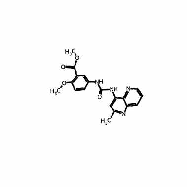 COC(=O)c1cc(NC(=O)Nc2cc(C)nc3cccnc23)ccc1OC